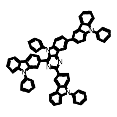 c1ccc(-n2c3ccccc3c3cc(-c4ccc5c(c4)c4nc(-c6ccc7c(c6)c6ccccc6n7-c6ccccc6)nc(-c6ccc7c8ccccc8n(-c8ccccc8)c7c6)c4n5-c4ccccc4)ccc32)cc1